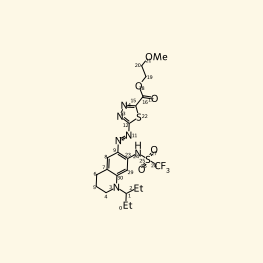 CCC(CC)N1CCCc2cc(N=Nc3nnc(C(=O)OCCOC)s3)c(NS(=O)(=O)C(F)(F)F)cc21